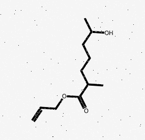 C=CCOC(=O)C(C)CCCC(C)O